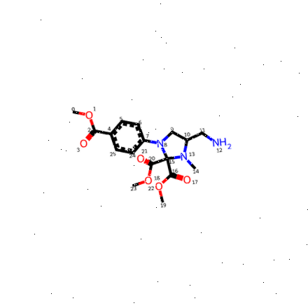 COC(=O)c1ccc(N2CC(CN)N(C)C2(C(=O)OC)C(=O)OC)cc1